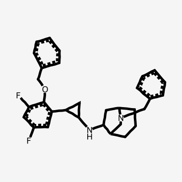 Fc1cc(F)c(OCc2ccccc2)c(C2CC2NC2CC3CCCC2CN3Cc2ccccc2)c1